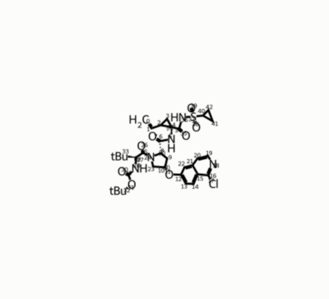 C=CC1C[C@]1(NC(=O)[C@@H]1C[C@@H](Oc2ccc3c(Cl)nccc3c2)CN1C(=O)[C@@H](NC(=O)OC(C)(C)C)C(C)(C)C)C(=O)NS(=O)(=O)C1CC1